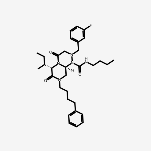 CCCCNC(=O)N1[C@H]2CN(CCCCc3ccccc3)C(=O)[C@H](C(C)CC)N2C(=O)CN1Cc1cccc(F)c1